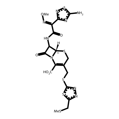 CON=C(C(=O)NC1C(=O)N2C(C(=O)O)=C(CSc3nnc(CSC)s3)CS[C@@H]12)c1nsc(N)n1